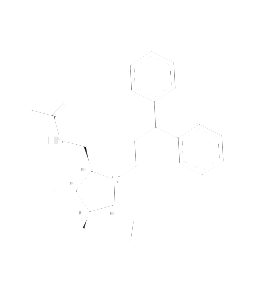 CC(=O)NC[C@@H]1[C@@H](O)[C@H](O)[C@@H](CO)N1CCC(c1ccccc1)c1ccccc1